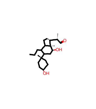 CCCC1C2CC[C@H]([C@H](C)C=O)[C@@]2(C)[C@@H](O)CC1[C@]1(C)CC[C@H](O)CC1